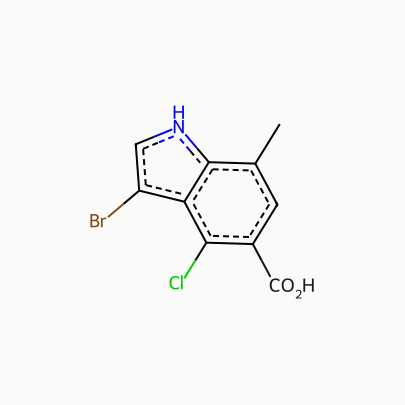 Cc1cc(C(=O)O)c(Cl)c2c(Br)c[nH]c12